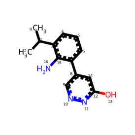 CC(C)c1cccc(-c2cnnc(O)c2)c1N